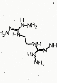 N/N=C(/NN)NCCN/C(=N\N)NN